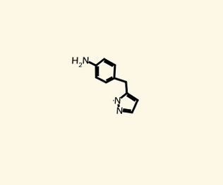 Nc1ccc(CC2=CC=N[N]2)cc1